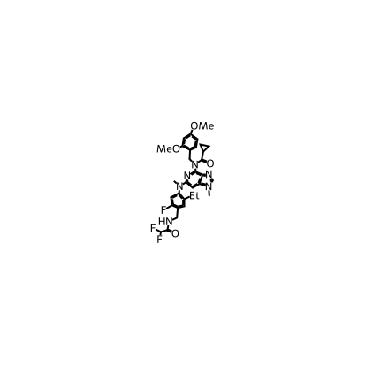 CCc1cc(CNC(=O)C(F)F)c(F)cc1N(C)c1cc2c(ncn2C)c(N(Cc2ccc(OC)cc2OC)C(=O)C2CC2)n1